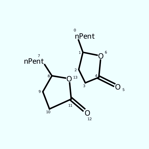 CCCCCC1CCC(=O)O1.CCCCCC1CCC(=O)O1